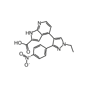 CCn1cc(-c2ccnc3[nH]c(C(=O)O)cc23)c(-c2ccc([N+](=O)[O-])cc2)n1